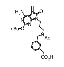 CCCCOc1nc(N)c2[nH]c(=O)n(CCCN(Cc3cccc(CC(=O)O)c3)C(C)=O)c2n1